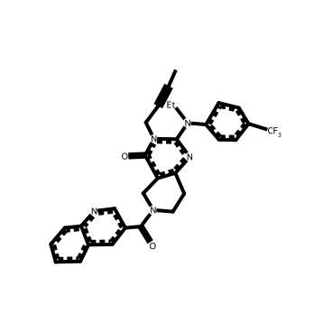 CC#CCn1c(N(CC)c2ccc(C(F)(F)F)cc2)nc2c(c1=O)CN(C(=O)c1cnc3ccccc3c1)CC2